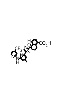 Cc1cc(Nc2cc(C(F)(F)F)ccn2)nc(-c2cnc(C3(O)CCCc4c(C(=O)O)cccc43)s2)c1